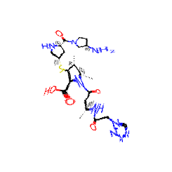 C[C@H](CC(=O)N1C(C(=O)O)=C(S[C@@H]2CN[C@H](C(=O)N3CC[C@@H](N)C3)C2)[C@H](C)[C@@H]1C)NC(=O)Cn1cnnn1